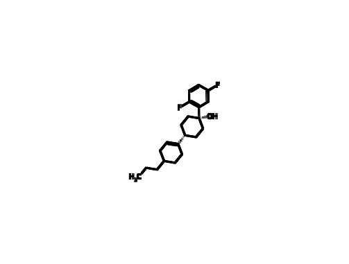 CCCC1CC=C([C@H]2CC[C@](O)(c3cc(F)ccc3F)CC2)CC1